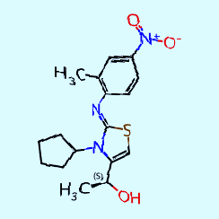 Cc1cc([N+](=O)[O-])ccc1N=c1scc([C@H](C)O)n1C1CCCC1